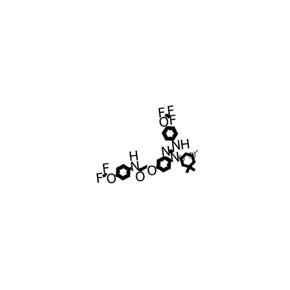 C[C@H]1C[C@@H](n2c(Nc3ccc(OC(F)(F)F)cc3)nc3cc(OCC(=O)Nc4ccc(OC(F)F)cc4)ccc32)CC(C)(C)C1